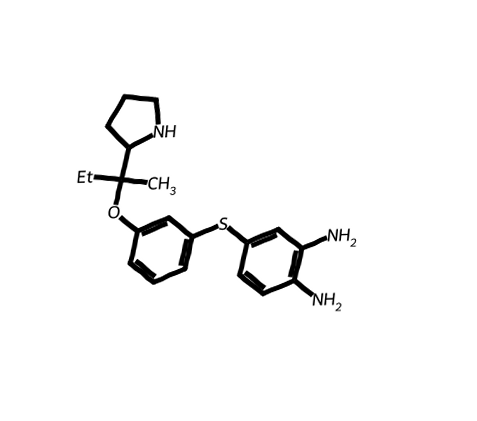 CCC(C)(Oc1cccc(Sc2ccc(N)c(N)c2)c1)C1CCCN1